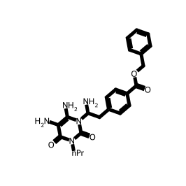 CCCn1c(=O)c(N)c(N)n(C(N)Cc2ccc(C(=O)OCc3ccccc3)cc2)c1=O